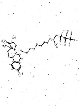 C=C1[C@H](O)CC2C3C(CC[C@]12C)c1ccc(O)cc1C[C@H]3CCCCCCCCC[S+]([O-])CC(F)(F)C(F)(F)C(F)(F)F